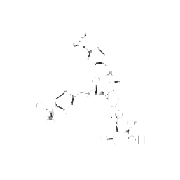 CC(=O)/C(=N/O[C@H]1C[C@@H](C(=O)OCc2ccc([N+](=O)[O-])cc2)N(C(=O)OCc2ccc([N+](=O)[O-])cc2)C1)C(=O)O